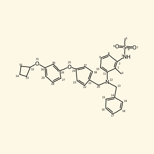 Cc1c(NS(C)(=O)=O)cccc1N(Cc1ccccc1)Cc1ccc(Oc2cccc(OC3CCC3)c2)cc1